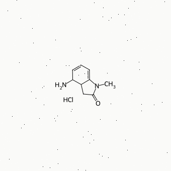 CN1C(=O)CC2C1=CC=CC2N.Cl